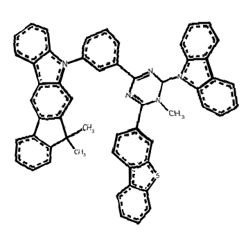 CN1C(c2ccc3c(c2)sc2ccccc23)=NC(c2cccc(-n3c4ccccc4c4cc5c(cc43)C(C)(C)c3ccccc3-5)c2)=NC1n1c2ccccc2c2ccccc21